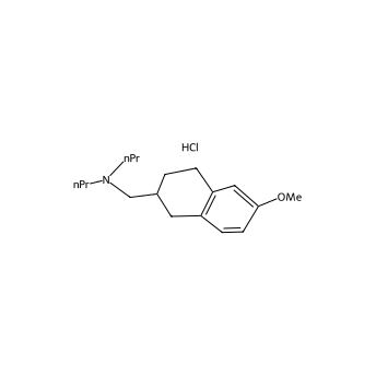 CCCN(CCC)CC1CCc2cc(OC)ccc2C1.Cl